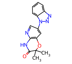 CC1(C)Oc2cc(-n3nnc4ccccc43)cnc2NC1=O